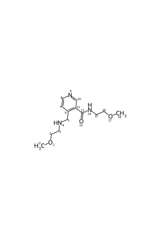 COCCNCc1ccncc1C(=O)NCCOC